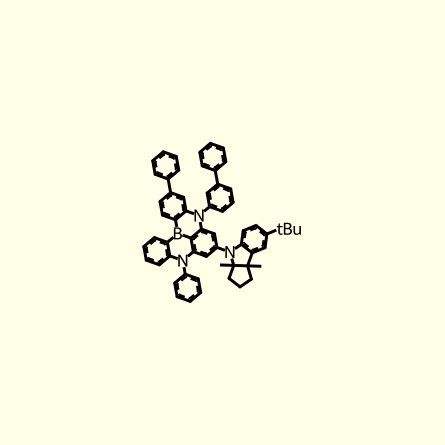 CC(C)(C)c1ccc2c(c1)C1(C)CCCC1(C)N2c1cc2c3c(c1)N(c1cccc(-c4ccccc4)c1)c1cc(-c4ccccc4)ccc1B3c1ccccc1N2c1ccccc1